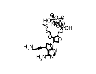 CSSCOC1[C@H](N2CC(C#CCN)c3c(N)ncnc32)CO[C@@H]1COP(=O)(O)OP(=O)(O)OP(=O)(O)O